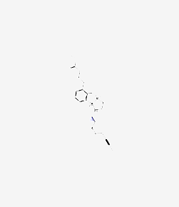 CC#CC[C@H](C)[C@H](O)/C=C/[C@H]1CC[C@@H]2Oc3c(CCCC(=O)OC)cccc3[C@@H]21